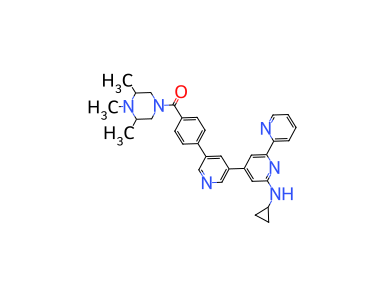 CC1CN(C(=O)c2ccc(-c3cncc(-c4cc(NC5CC5)nc(-c5ccccn5)c4)c3)cc2)CC(C)N1C